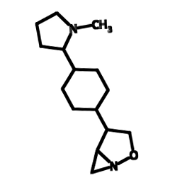 CN1CCCC1C1CCC(C2CON3CC23)CC1